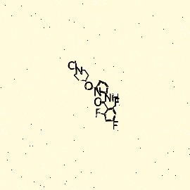 O=C(Nc1cccc(OC2CCN(Cl)CC2)n1)c1c(F)cc(F)cc1F